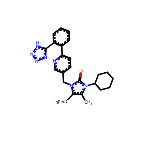 CCCCCc1c(C)n(C2CCCCC2)c(=O)n1Cc1ccc(-c2ccccc2-c2nnn[nH]2)nc1